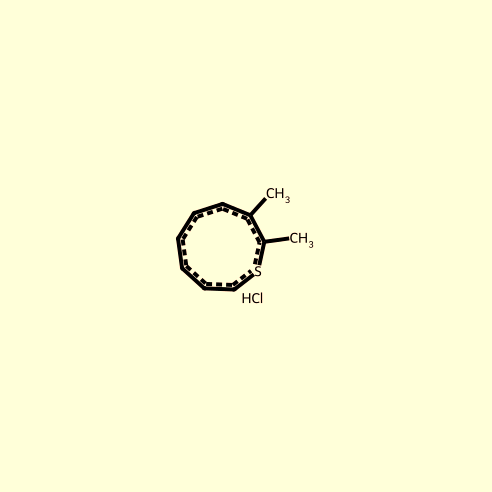 Cc1ccccccsc1C.Cl